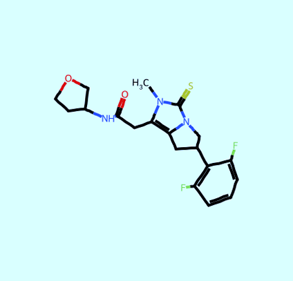 Cn1c(CC(=O)NC2CCOC2)c2n(c1=S)CC(c1c(F)cccc1F)C2